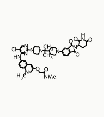 CNC(=O)COC1=Cc2cc(Nc3nc(N4CCN(C(C)(C)C5CCN(c6ccc7c(c6)C(=O)N(C6CCC(=O)NC6=O)C7=O)CC5)CC4)ncc3Cl)ccc2N(C)C1